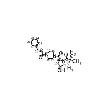 CC(C)(C)C(=O)N1C[C@H](O)C[C@H]1C(=O)N1CCN(C(=O)OCc2ccccc2)CC1